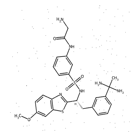 COc1ccc2nc([C@@H](Cc3cccc(C(C)(N)N)c3)NS(=O)(=O)c3cccc(NC(=O)CN)c3)sc2c1